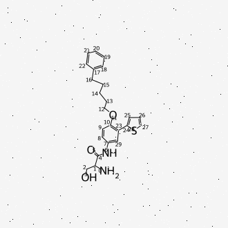 NC(CO)C(=O)Nc1ccc(OCCCCCc2ccccc2)c(-c2cccs2)c1